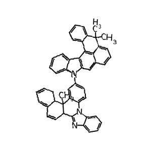 CC1(C)c2ccccc2-c2c3c1cccc3cc1c2c2ccccc2n1-c1ccc2c(c1)C1(C)C3CC=CC=C3C=CC1c1nc3ccccc3n1-2